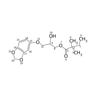 CCC(C)(C)C(=O)OCC(O)COc1ccc2c(c1)OCO2